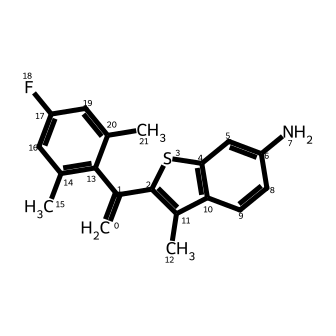 C=C(c1sc2cc(N)ccc2c1C)c1c(C)cc(F)cc1C